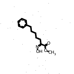 COC(=O)C(CCCCCc1ccccc1)=NO